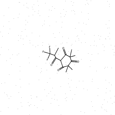 CC(C(=O)C1C(=O)C(C)(C)C(=O)C(C)(C)C1=O)C(F)(F)F